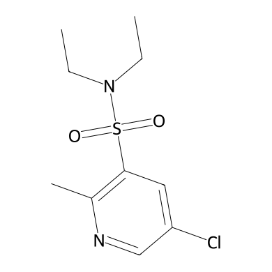 CCN(CC)S(=O)(=O)c1cc(Cl)cnc1C